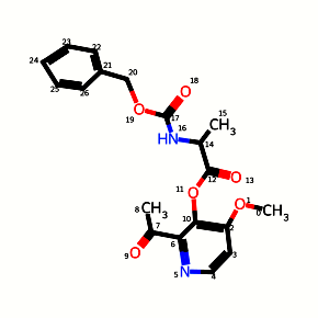 COc1ccnc(C(C)=O)c1OC(=O)C(C)NC(=O)OCc1ccccc1